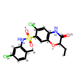 CCC1Oc2cc(S(=O)(=O)Nc3cc(Cl)ccc3C)c(Cl)cc2NC1=O